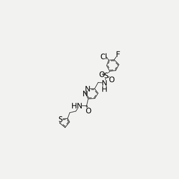 O=C(NCCc1cccs1)c1ccc(CNS(=O)(=O)c2ccc(F)c(Cl)c2)nn1